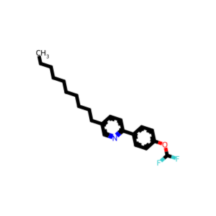 CCCCCCCCCCc1ccc(-c2ccc(OC(F)F)cc2)nc1